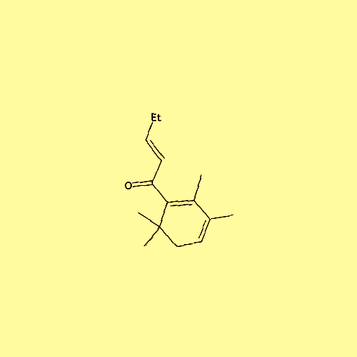 CCC=CC(=O)C1=C(C)C(C)=CCC1(C)C